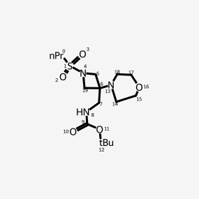 CCCS(=O)(=O)N1CC(CNC(=O)OC(C)(C)C)(N2CCOCC2)C1